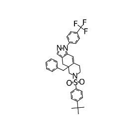 CC(C)(C)c1ccc(S(=O)(=O)N2CCC3=Cc4c(cnn4-c4ccc(C(F)(F)F)cc4)CC3(Cc3ccccc3)C2)cc1